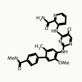 CNC(=O)c1ccc(-c2cc(OC)c(Nc3ncc(Cl)c(Nc4cccnc4C(N)=O)n3)cc2C)cc1